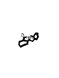 Cc1ccccc1CC1NC(=O)c2ccccc21